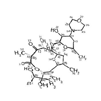 CC[C@@H](O)[C@@](C)(O)[C@@H]1OC(=O)[C@H](C)C(=O)[C@H](C)[C@@H](O[C@@H]2OC(C)CC(N3CCOCC3)C2O)[C@@]2(C)CC(C)C(O2)[C@@H]1C